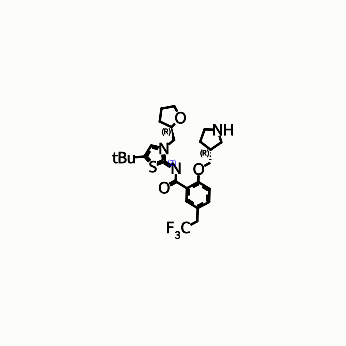 CC(C)(C)c1cn(C[C@H]2CCCO2)/c(=N/C(=O)c2cc(CC(F)(F)F)ccc2OC[C@@H]2CCNC2)s1